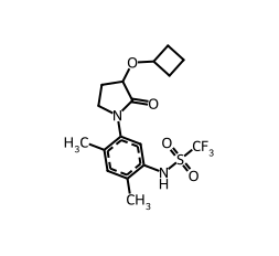 Cc1cc(C)c(N2CCC(OC3CCC3)C2=O)cc1NS(=O)(=O)C(F)(F)F